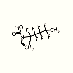 C=CN(C(=O)O)C(F)(F)C(F)(F)C(F)(F)C(C)(F)F